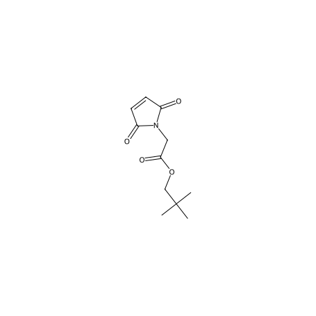 CC(C)(C)COC(=O)CN1C(=O)C=CC1=O